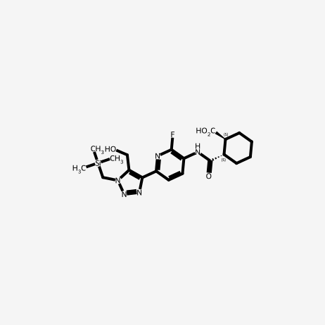 C[Si](C)(C)Cn1nnc(-c2ccc(NC(=O)[C@H]3CCCC[C@@H]3C(=O)O)c(F)n2)c1CO